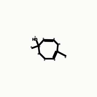 CC1=CCCC(C)(O)C=CC1